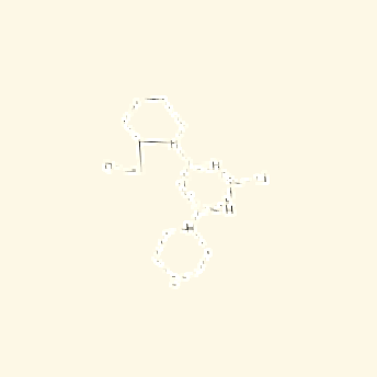 O=CC1CCCCN1c1cc(N2CCOCC2)nc(Cl)n1